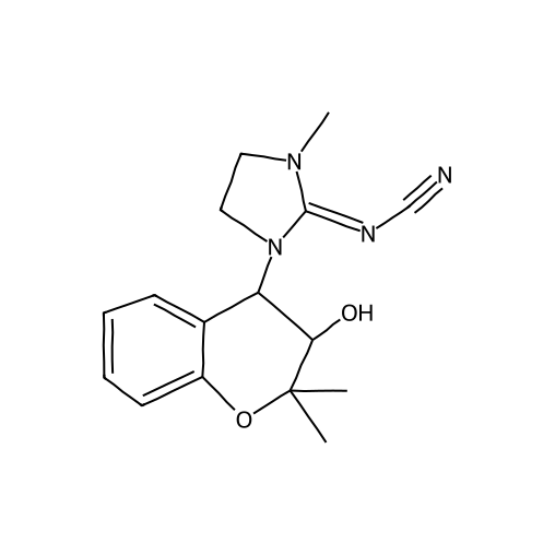 CN1CCN(C2c3ccccc3OC(C)(C)C2O)C1=NC#N